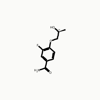 C[C@H](O)COc1ccc(C(N)=O)cc1F